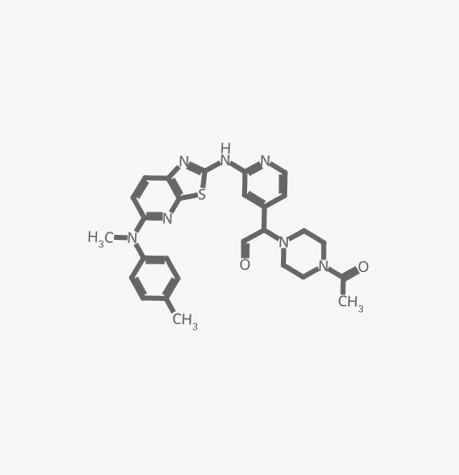 CC(=O)N1CCN(C(C=O)c2ccnc(Nc3nc4ccc(N(C)c5ccc(C)cc5)nc4s3)c2)CC1